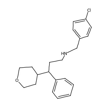 Clc1ccc(CNCCC(c2ccccc2)C2CCOCC2)cc1